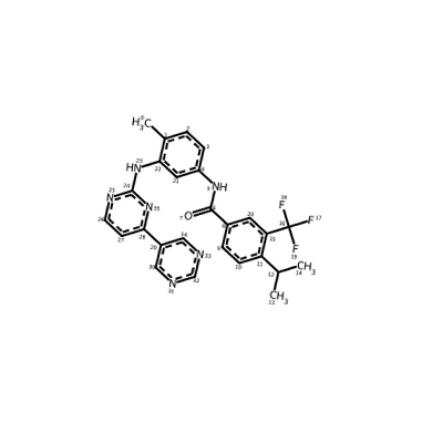 Cc1ccc(NC(=O)c2ccc(C(C)C)c(C(F)(F)F)c2)cc1Nc1nccc(-c2cncnc2)n1